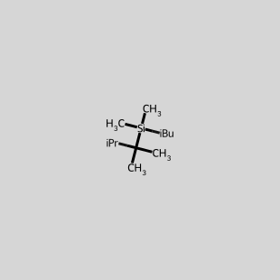 CCC(C)[Si](C)(C)C(C)(C)C(C)C